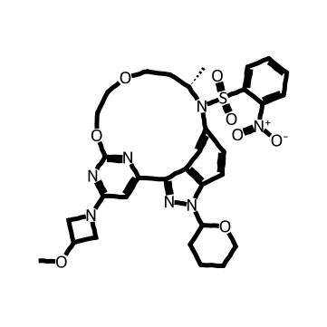 COC1CN(c2cc3nc(n2)OCCOCC[C@H](C)N(S(=O)(=O)c2ccccc2[N+](=O)[O-])c2ccc4c(c2)c-3nn4C2CCCCO2)C1